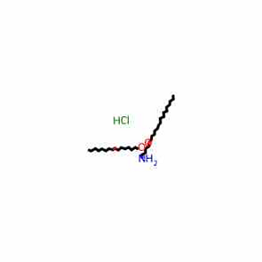 CCCCCCCCCCCCCCCCOCC(CCN)OCCCCCCCCCCCCCCCC.Cl